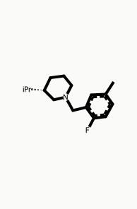 Cc1ccc(F)c(CN2CCC[C@@H](C(C)C)C2)c1